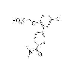 CN(C)C(=O)c1ccc(-c2cc(Cl)ccc2OCC(=O)O)cc1